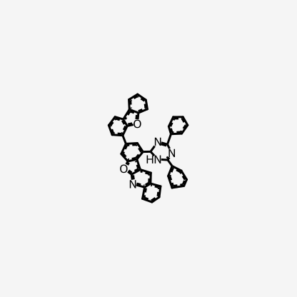 c1ccc(C2=NC(c3cc(-c4cccc5c4oc4ccccc45)cc4oc5nc6ccccc6cc5c34)NC(c3ccccc3)=N2)cc1